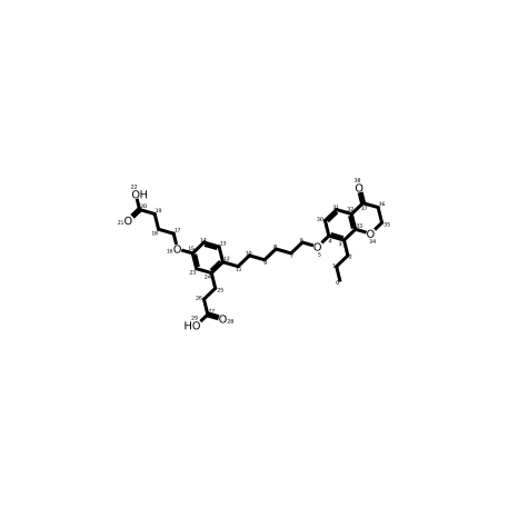 CCCc1c(OCCCCCCc2ccc(OCCCC(=O)O)cc2CCC(=O)O)ccc2c1OCCC2=O